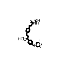 C[C@@H]1CN(Cc2ccc(C(=O)C=Cc3ccc(C=CC(=O)NO)cc3)cc2)C[C@H](C)O1.Cl